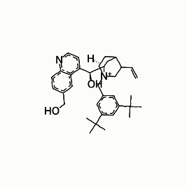 C=CC1C[N+]2(Cc3cc(C(C)(C)C)cc(C(C)(C)C)c3)CCC1C[C@@H]2[C@@H](O)c1ccnc2ccc(CO)cc12